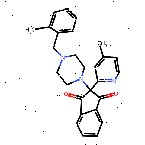 Cc1ccnc(C2(N3CCN(Cc4ccccc4C)CC3)C(=O)c3ccccc3C2=O)c1